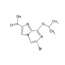 CC(C)Oc1nc(Br)cn2cc(C(=O)O)nc12